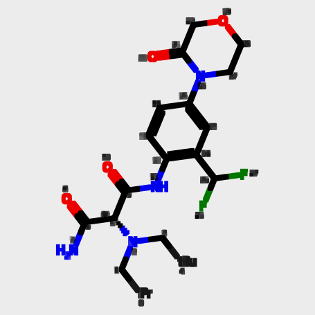 CC(C)CN(CC(C)(C)C)[C@H](C(N)=O)C(=O)Nc1ccc(N2CCOCC2=O)cc1C(F)F